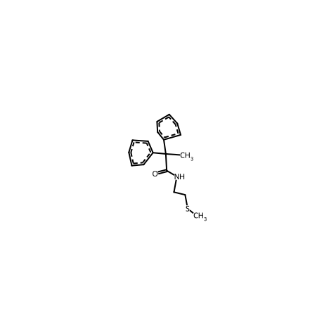 CSCCNC(=O)C(C)(c1ccccc1)c1ccccc1